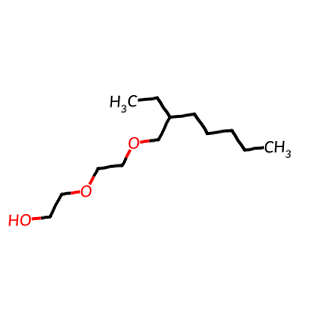 CCCCCC(CC)COCCOCCO